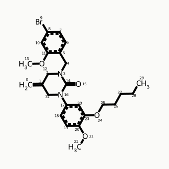 C=C1CN(Cc2ccc(Br)cc2OC)C(=O)N(c2ccc(OC)c(OCCCCC)c2)C1